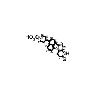 O=C1CCC(N2C(=O)c3ccc(C4CCN(C(=O)O)CC4)c4cccc2c34)C(=O)N1